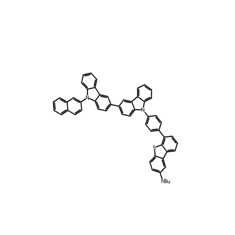 CCCCc1ccc2sc3c(-c4ccc(-n5c6ccccc6c6cc(-c7ccc8c(c7)c7ccccc7n8-c7ccc8ccccc8c7)ccc65)cc4)cccc3c2c1